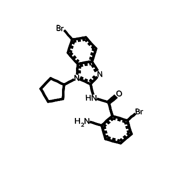 Nc1cccc(Br)c1C(=O)Nc1nc2ccc(Br)cc2n1C1CCCC1